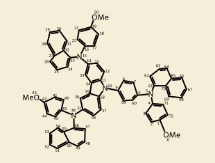 COc1ccc(N(c2ccc(-n3c4ccc(N(c5ccc(OC)cc5)c5cccc6ccccc56)cc4c4cc(N(c5ccc(OC)cc5)c5cccc6ccccc56)ccc43)cc2)c2cccc3ccccc23)cc1